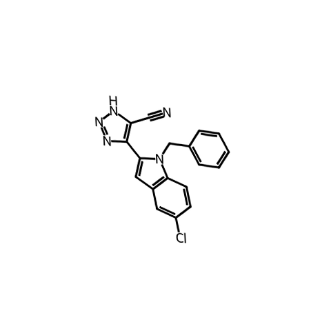 N#Cc1[nH]nnc1-c1cc2cc(Cl)ccc2n1Cc1ccccc1